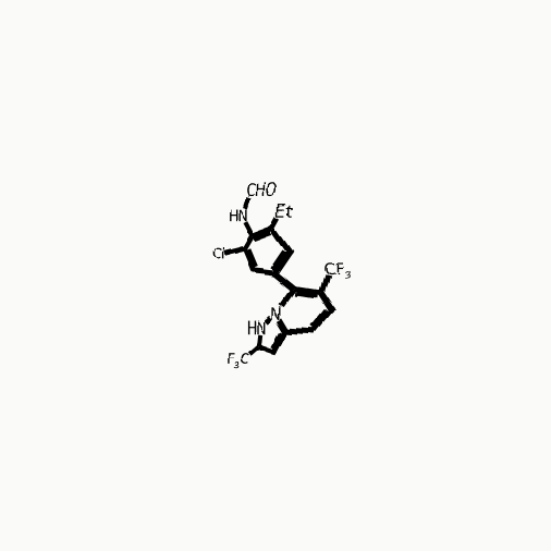 CCc1cc(C2=C(C(F)(F)F)C=CC3=CC(C(F)(F)F)NN32)cc(Cl)c1NC=O